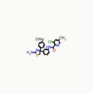 COc1ccc(C2(c3cccc(NC(=O)c4ncc(C)cc4Cl)c3)CSC(N)=N2)cc1